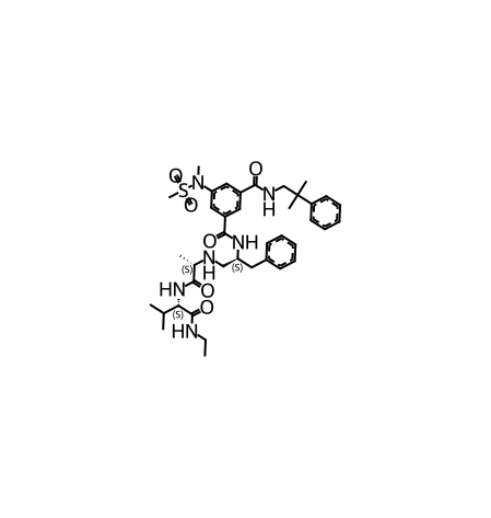 CCNC(=O)[C@@H](NC(=O)[C@H](C)NC[C@H](Cc1ccccc1)NC(=O)c1cc(C(=O)NCC(C)(C)c2ccccc2)cc(N(C)S(C)(=O)=O)c1)C(C)C